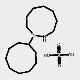 C1CCCCC(N2CCCCCCCN2)CCC1.O=S(=O)(O)O